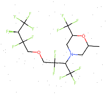 CC1CN(C(C(F)(F)F)C(F)(F)COCC(F)(F)[C@@H](F)C(F)(F)F)CC(C(F)(F)F)O1